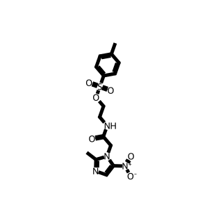 Cc1ccc(S(=O)(=O)OCCNC(=O)Cn2c([N+](=O)[O-])cnc2C)cc1